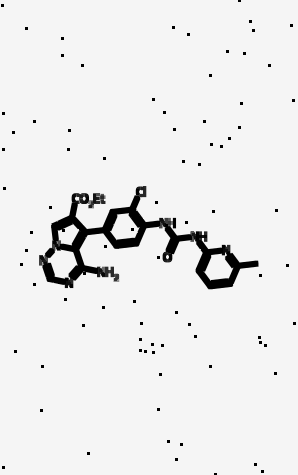 CCOC(=O)c1cn2ncnc(N)c2c1-c1ccc(NC(=O)Nc2cccc(C)n2)c(Cl)c1